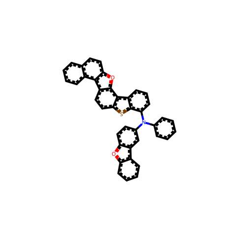 c1ccc(N(c2ccc3oc4ccccc4c3c2)c2cccc3c2sc2ccc4c(oc5ccc6ccccc6c54)c23)cc1